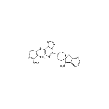 BC1c2cccnc2CC12CCN(c1ncc(Sc3ccnc(NC)c3C)c3nccn13)CC2